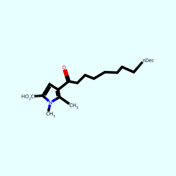 CCCCCCCCCCCCCCCCCC(=O)c1cc(C(=O)O)n(C)c1C